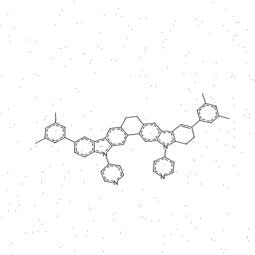 Cc1cc(C)cc(C2=Cc3c(n(-c4ccncc4)c4cc5c(cc34)CCc3cc4c6cc(-c7cc(C)cc(C)c7)ccc6n(-c6ccncc6)c4cc3-5)CC2)c1